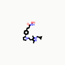 Cc1nn(CC2CC2)c(C)c1CCN1CCC[C@H]1c1ccc(C=CC(=O)NO)cc1